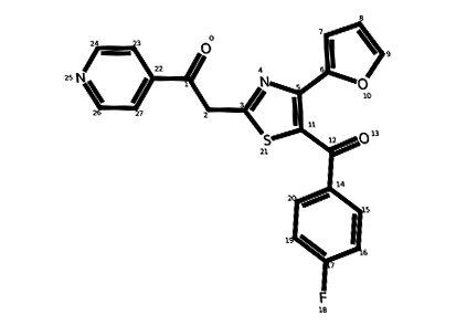 O=C(Cc1nc(-c2ccco2)c(C(=O)c2ccc(F)cc2)s1)c1ccncc1